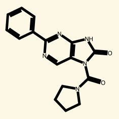 O=C(N1CCCC1)n1c(=O)[nH]c2nc(-c3ccccc3)ncc21